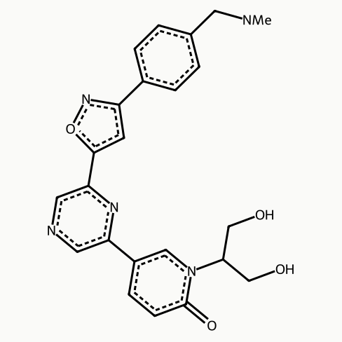 CNCc1ccc(-c2cc(-c3cncc(-c4ccc(=O)n(C(CO)CO)c4)n3)on2)cc1